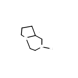 BN1CCN2CCC[C@H]2C1